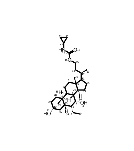 CC[C@H]1[C@@H](O)[C@@H]2[C@H](CC[C@]3(C)C([C@H](C)CCOC(=O)NC4CC4)CC[C@@H]23)[C@@]2(C)CC[C@@H](O)C[C@@H]12